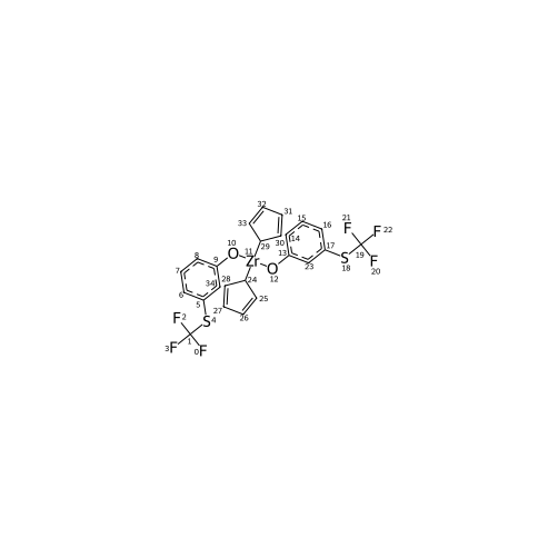 FC(F)(F)Sc1cccc([O][Zr]([O]c2cccc(SC(F)(F)F)c2)([CH]2C=CC=C2)[CH]2C=CC=C2)c1